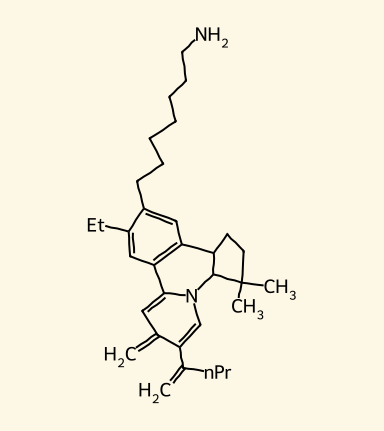 C=C1C=C2c3cc(CC)c(CCCCCCCN)cc3C3CCC(C)(C)C3N2C=C1C(=C)CCC